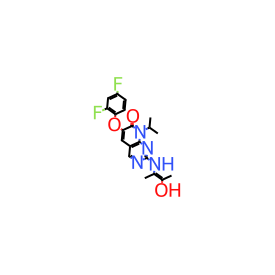 C/C(O)=C(/C)Nc1ncc2cc(Oc3ccc(F)cc3F)c(=O)n(C(C)C)c2n1